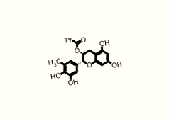 Cc1cc([C@H]2Oc3cc(O)cc(O)c3C[C@H]2OC(=O)C(C)C)cc(O)c1O